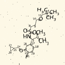 CC(C)[C@H](NS(=O)(=O)CCCOCC(C)(C)C)c1ccc(F)c(OCC2CC2)c1